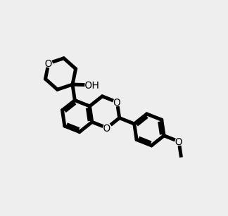 COc1ccc(C2OCc3c(cccc3C3(O)CCOCC3)O2)cc1